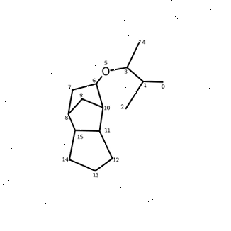 CC(C)C(C)OC1CC2CC1C1CCCC21